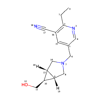 CCc1ncc(CN2C[C@@H]3[C@@H](CO)[C@@H]3C2)cc1C#N